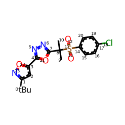 CC(C)(C)c1cc(-c2nnc(C(C)(C)S(=O)(=O)c3ccc(Cl)cc3)o2)on1